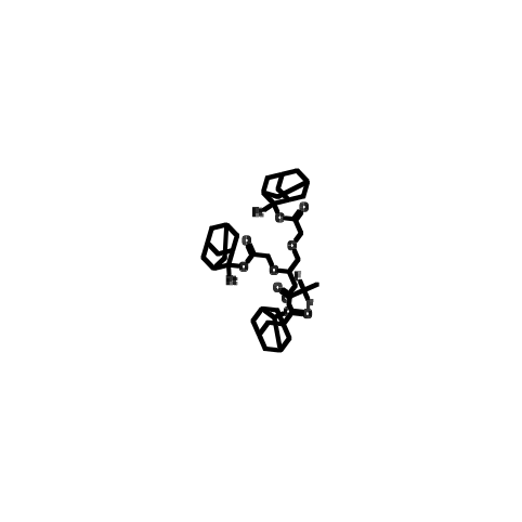 CCC1(OC(=O)COCC(COC(=O)C23CC4CC(C2)C(OC(=O)C(C)(F)F)C(C4)C3)OCC(=O)OC2(CC)C3CC4CC(C3)CC2C4)C2CC3CC(C2)CC1C3